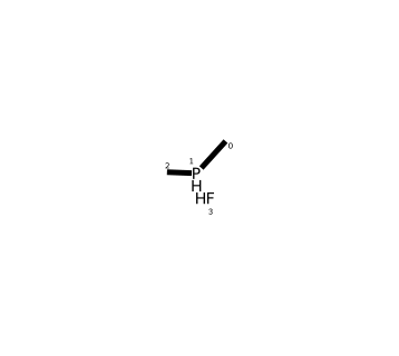 CPC.F